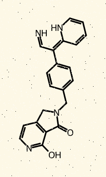 N=C/C(=C1/C=CC=CN1)c1ccc(CN2Cc3ccnc(O)c3C2=O)cc1